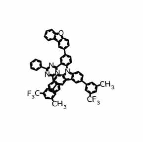 Cc1cc(-c2ccc3c(c2)c2cc(-c4cc(C)cc(C(F)(F)F)c4)ccc2n3-c2ccc(-c3ccc4oc5ccccc5c4c3)cc2-c2nc(-c3ccccc3)nc(-c3ccccc3)n2)cc(C(F)(F)F)c1